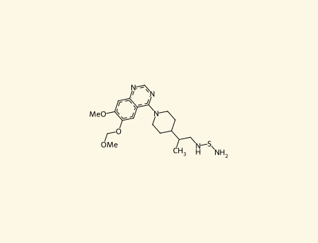 COCOc1cc2c(N3CCC(C(C)CNSN)CC3)ncnc2cc1OC